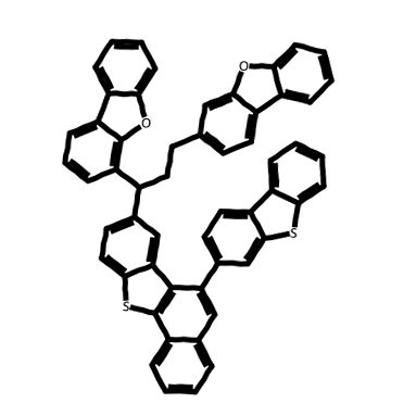 c1ccc2c(c1)cc(-c1ccc3c(c1)sc1ccccc13)c1c3cc(C(CCc4ccc5c(c4)oc4ccccc45)c4cccc5c4oc4ccccc45)ccc3sc21